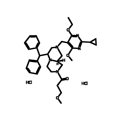 CCOc1nc(C2CC2)nc(OC)c1CN1CC(C(c2ccccc2)c2ccccc2)N2CCN(C(=O)CCOC)C[C@H]2C1.Cl.Cl